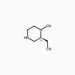 N#CC[C@H]1CNCCN1C#N